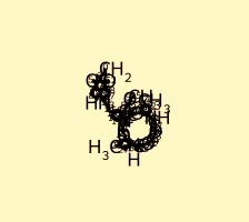 C=CCN1C(=O)c2cccc3c(NCCc4ccc(N5CCOc6cc(C)ccc6NCCOCCOCCNc6ccc(C)cc6OCC5)c(OCCOC)c4)ccc(c23)C1=O